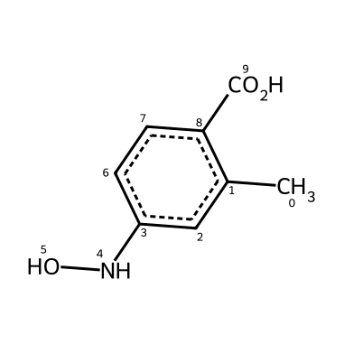 Cc1cc(NO)ccc1C(=O)O